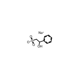 O=S(=O)([O-])CC(O)c1ccccc1.[Na+]